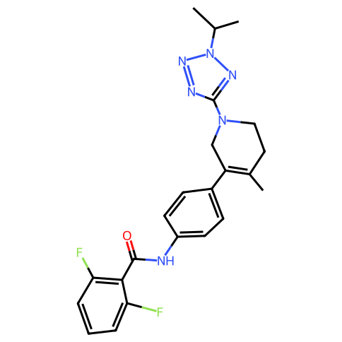 CC1=C(c2ccc(NC(=O)c3c(F)cccc3F)cc2)CN(c2nnn(C(C)C)n2)CC1